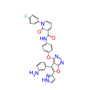 Nc1cccc(-c2c(-c3cc[nH]n3)oc3ncnc(Oc4ccc(NC(=O)c5cccn(-c6ccc(F)cc6)c5=O)cc4)c23)c1